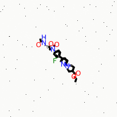 CCOC(=O)C1CCN(c2ccc(-c3ccc(N4C[C@H](CNC(C)=O)OC4=O)cc3F)cn2)CC1